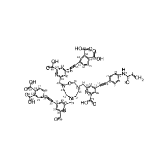 C=CC(=O)Nc1ccc(C#Cc2cc(CN3CCN(Cc4cc(C#Cc5ccc(C(=O)O)c(C(=O)O)c5)cc(C=O)n4)CCN(Cc4cc(C#Cc5ccc(C(=O)O)c(C(=O)O)c5)cc(C(=O)O)n4)CC3)nc(C(=O)O)c2)cc1